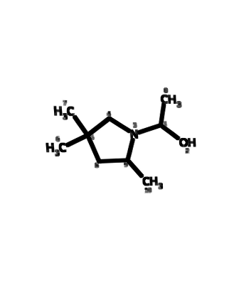 CC(O)N1CC(C)(C)CC1C